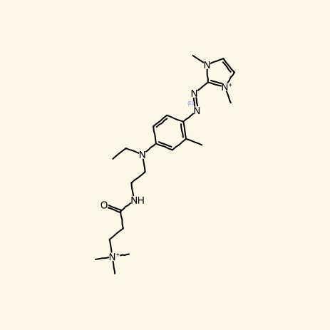 CCN(CCNC(=O)CC[N+](C)(C)C)c1ccc(/N=N/c2n(C)cc[n+]2C)c(C)c1